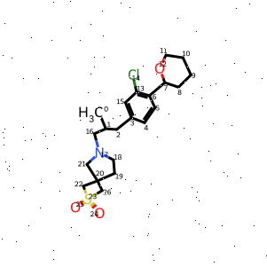 CC(Cc1ccc(C2CCCCO2)c(Cl)c1)CN1CCC2(C1)CS(=O)(=O)C2